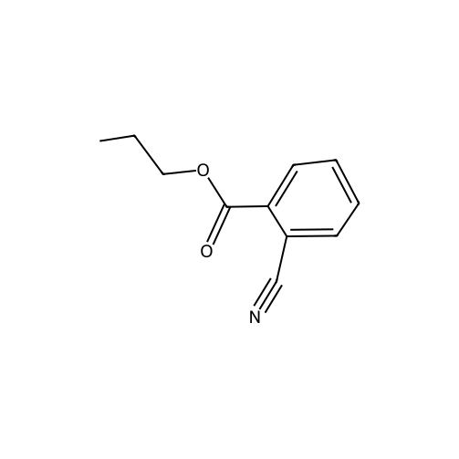 CCCOC(=O)c1ccccc1C#N